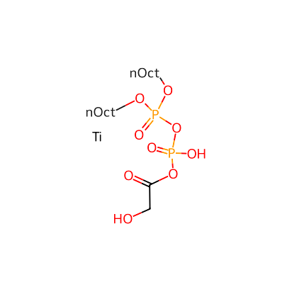 CCCCCCCCOP(=O)(OCCCCCCCC)OP(=O)(O)OC(=O)CO.[Ti]